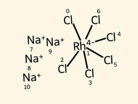 [Cl][Rh-4]([Cl])([Cl])([Cl])([Cl])[Cl].[Na+].[Na+].[Na+].[Na+]